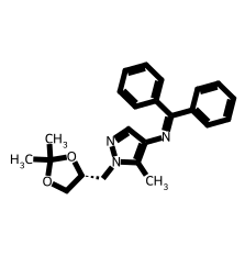 Cc1c(N=C(c2ccccc2)c2ccccc2)cnn1C[C@@H]1COC(C)(C)O1